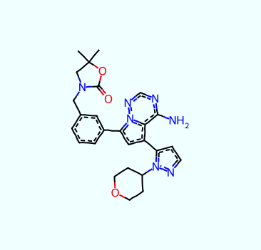 CC1(C)CN(Cc2cccc(-c3cc(-c4ccnn4C4CCOCC4)c4c(N)ncnn34)c2)C(=O)O1